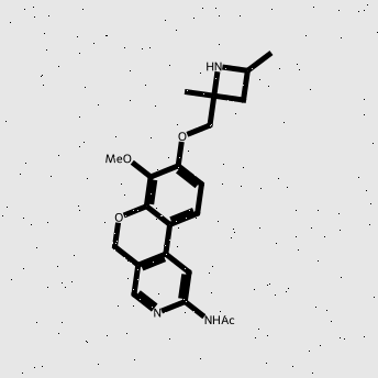 COc1c(OCC2(C)CC(C)N2)ccc2c1OCc1cnc(NC(C)=O)cc1-2